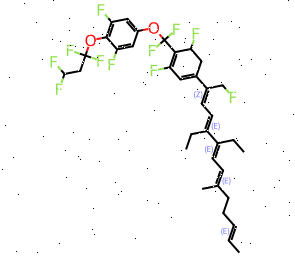 C/C=C/CC/C(C)=C/C=C(CC)/C(=C/C=C(\CF)C1=CC(F)=C(C(F)(F)Oc2cc(F)c(OC(F)(F)CC(F)F)c(F)c2)C(F)C1)CC